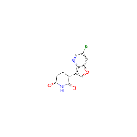 O=C1CCC(c2coc3cc(Br)cnc23)C(=O)N1